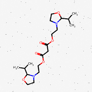 CC(C)C1OCCN1CCOC(=O)CC(=O)OCCN1CCOC1C(C)C